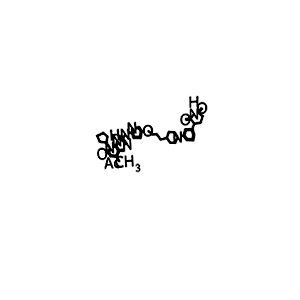 CC(=O)c1c(C)c2cnc(Nc3ccc(OCCCC4CCN(c5cccc(C6CCC(=O)NC6=O)c5)CC4)cn3)nc2n(C2CCCC2)c1=O